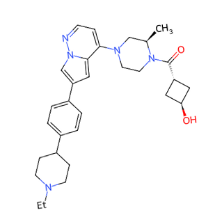 CCN1CCC(c2ccc(-c3cc4c(N5CCN(C(=O)[C@H]6C[C@H](O)C6)[C@H](C)C5)ccnn4c3)cc2)CC1